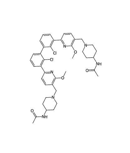 COc1nc(-c2cccc(-c3cccc(-c4ccc(CN5CCC(NC(C)=O)CC5)c(OC)n4)c3Cl)c2Cl)ccc1CN1CCC(NC(C)=O)CC1